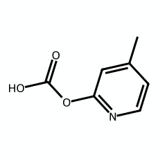 Cc1ccnc(OC(=O)O)c1